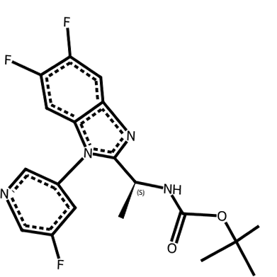 C[C@H](NC(=O)OC(C)(C)C)c1nc2cc(F)c(F)cc2n1-c1cncc(F)c1